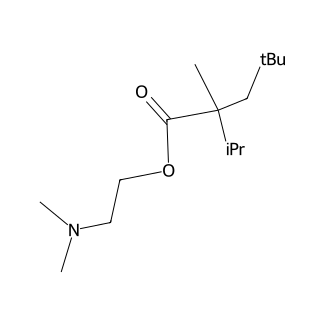 CC(C)C(C)(CC(C)(C)C)C(=O)OCCN(C)C